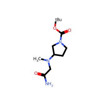 CN(CC(N)=O)C1CCN(C(=O)OC(C)(C)C)C1